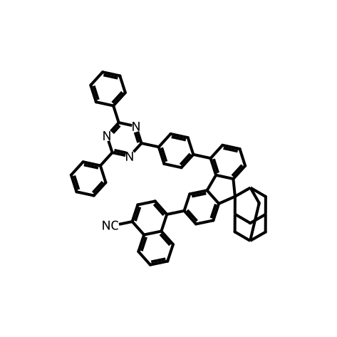 N#Cc1ccc(-c2ccc3c(c2)-c2c(-c4ccc(-c5nc(-c6ccccc6)nc(-c6ccccc6)n5)cc4)cccc2C32C3CC4CC(C3)CC2C4)c2ccccc12